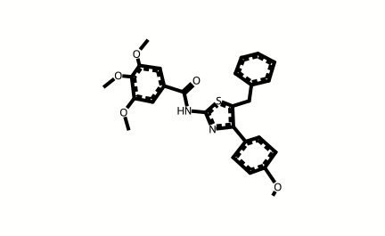 COc1ccc(-c2nc(NC(=O)c3cc(OC)c(OC)c(OC)c3)sc2Cc2ccccc2)cc1